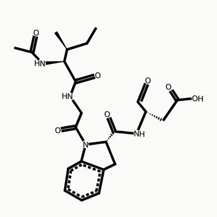 CC[C@H](C)[C@H](NC(C)=O)C(=O)NCC(=O)N1c2ccccc2C[C@H]1C(=O)N[C@H](C=O)CC(=O)O